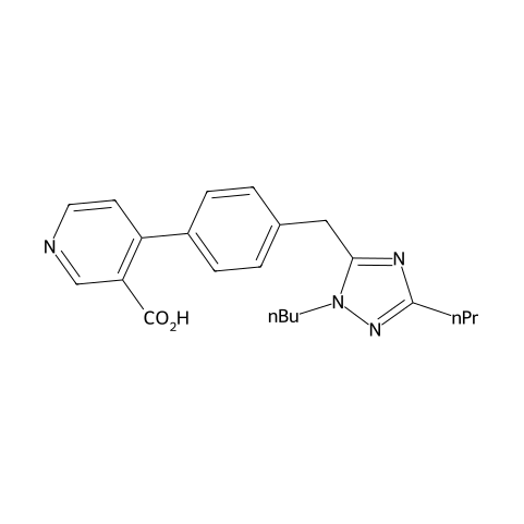 CCCCn1nc(CCC)nc1Cc1ccc(-c2ccncc2C(=O)O)cc1